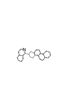 c1ccc2c(C3CCc4c(ccc5c4ccc4ccccc45)C3)nccc2c1